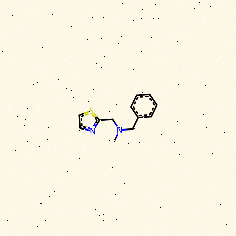 CN(Cc1ccccc1)Cc1nccs1